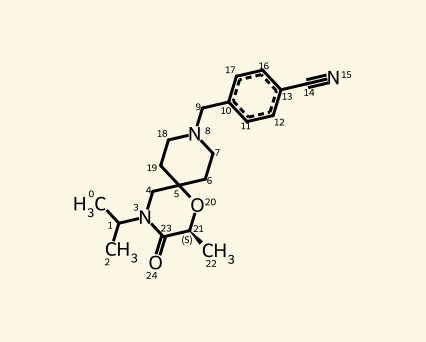 CC(C)N1CC2(CCN(Cc3ccc(C#N)cc3)CC2)O[C@@H](C)C1=O